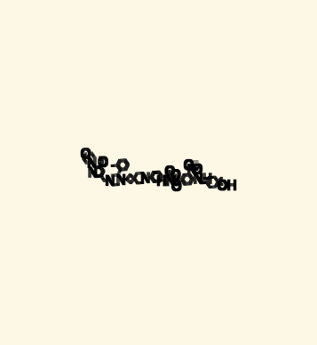 COc1cc(CN2CCN(C3CC4(CCN(c5ccc(C(=O)NS(=O)(=O)c6ccc(NCC7CCC(C)(O)CC7)c([N+](=O)[O-])c6)cc5)CC4)C3)[C@H](c3ccccc3C)C2)cnc1N1CCOCC1